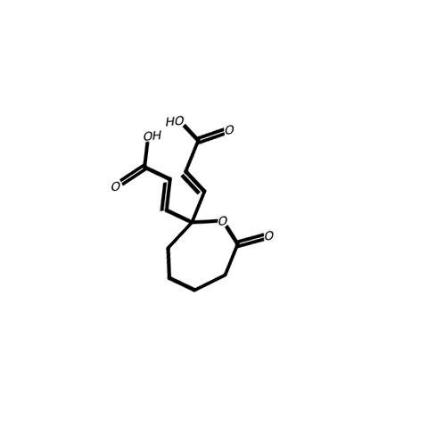 O=C(O)C=CC1(C=CC(=O)O)CCCCC(=O)O1